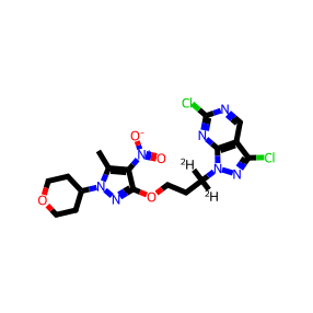 [2H]C([2H])(CCOc1nn(C2CCOCC2)c(C)c1[N+](=O)[O-])n1nc(Cl)c2cnc(Cl)nc21